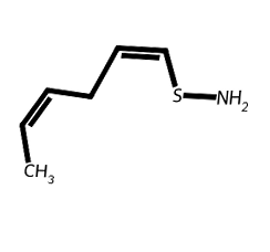 C/C=C\C/C=C\SN